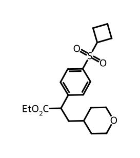 CCOC(=O)C(CC1CCOCC1)c1ccc(S(=O)(=O)C2CCC2)cc1